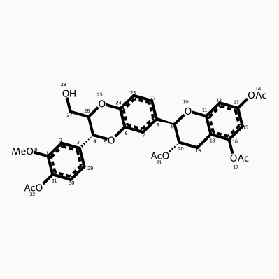 COc1cc([C@H]2Oc3cc([C@H]4Oc5cc(OC(C)=O)cc(OC(C)=O)c5C[C@@H]4OC(C)=O)ccc3OC2CO)ccc1OC(C)=O